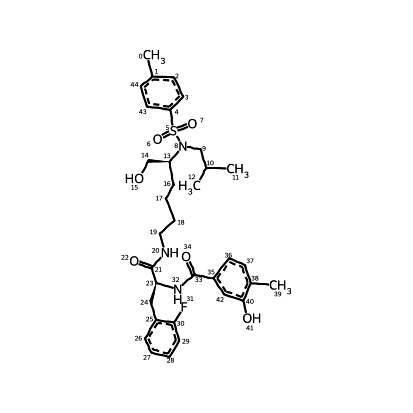 Cc1ccc(S(=O)(=O)N(CC(C)C)[C@H](CO)CCCCNC(=O)[C@H](Cc2ccccc2F)NC(=O)c2ccc(C)c(O)c2)cc1